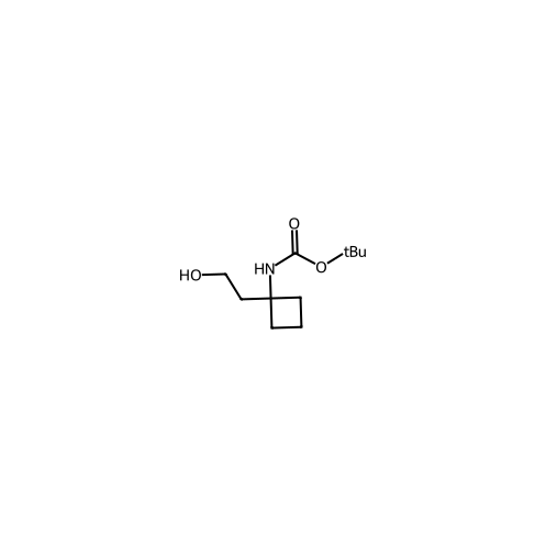 CC(C)(C)OC(=O)NC1(CCO)CCC1